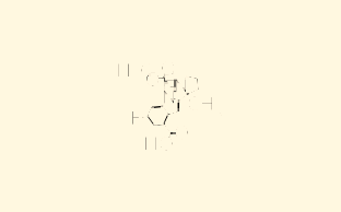 COC(=O)CN1CCCC1(C)c1cc2c(C(=O)O)cc(F)cc2[nH]1